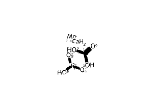 O=C(O)O.[CaH2].[Mn].[O-][I+2]([O-])O